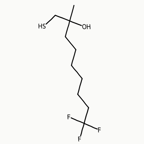 CC(O)(CS)CCCCCCC(F)(F)F